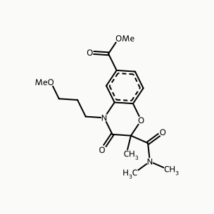 COCCCN1C(=O)C(C)(C(=O)N(C)C)Oc2ccc(C(=O)OC)cc21